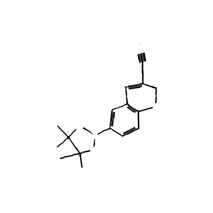 CC1(C)OB(c2ccc3c(c2)C=C(C#N)CO3)OC1(C)C